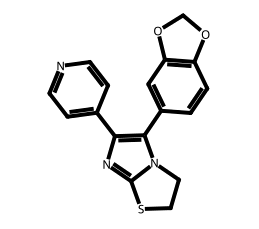 c1cc(-c2nc3n(c2-c2ccc4c(c2)OCO4)CCS3)ccn1